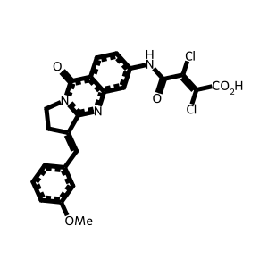 COc1cccc(C=C2CCn3c2nc2cc(NC(=O)C(Cl)=C(Cl)C(=O)O)ccc2c3=O)c1